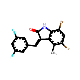 Cc1c(Br)cc(Br)c2c1C(=Cc1cc(F)cc(F)c1)C(=O)N2